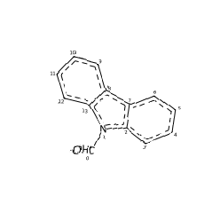 O=[C]n1c2ccccc2c2ccccc21